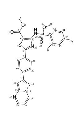 COC(=O)c1sc(-c2ccc(-c3cc4ncccn4n3)cc2)nc1NP(=O)(OC)c1ccc(C)cc1C